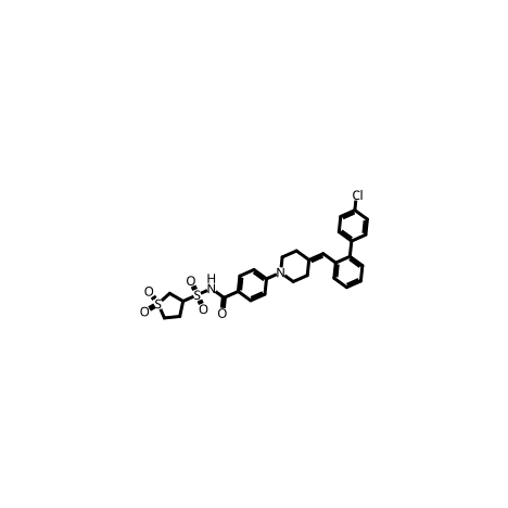 O=C(NS(=O)(=O)C1CCS(=O)(=O)C1)c1ccc(N2CCC(=Cc3ccccc3-c3ccc(Cl)cc3)CC2)cc1